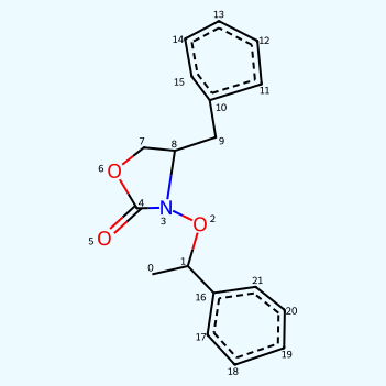 CC(ON1C(=O)OCC1Cc1ccccc1)c1ccccc1